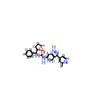 Cc1cc(-c2n[nH]c3cc(NC(=O)NC(c4ccccc4)C4CCCO4)ncc23)ccn1